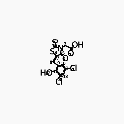 O=C(O)CN1C(=O)/C(=C\c2cc(Cl)cc(Cl)c2O)SC1=S